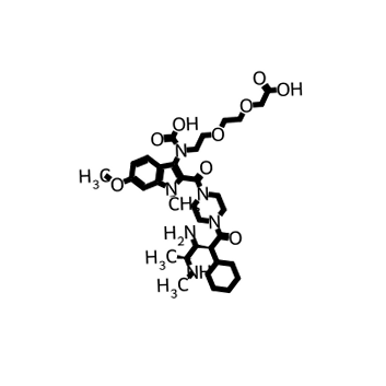 CN[C@@H](C)C(N)[C@@H](C(=O)N1CCN(C(=O)c2c(N(CCOCCOCC(=O)O)C(=O)O)c3ccc(OC)cc3n2C)CC1)C1CCCCC1